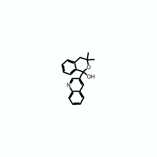 CC1(C)Cc2ccccc2C(O)(c2cnc3ccccc3c2)O1